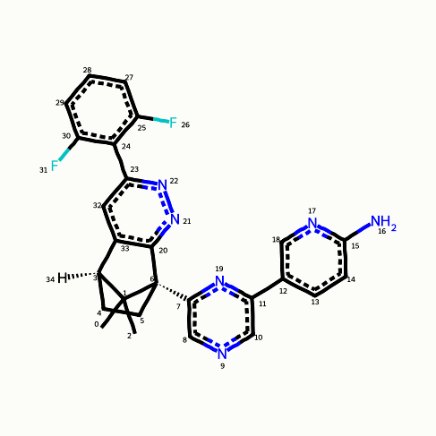 CC1(C)[C@H]2CC[C@]1(c1cncc(-c3ccc(N)nc3)n1)c1nnc(-c3c(F)cccc3F)cc12